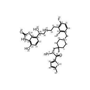 CCCN(CC1(C)CCN(Cc2ccc(F)c(CCNC[C@H](O)c3ccc(O)c4[nH]c(=O)sc34)c2F)CC1)C(=O)c1ccc(C)s1